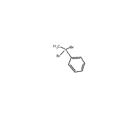 C[Si](Br)(Br)c1ccccc1